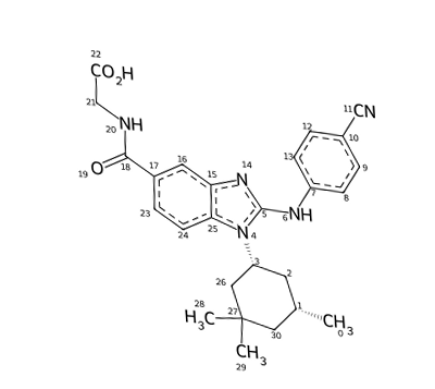 C[C@H]1C[C@@H](n2c(Nc3ccc(C#N)cc3)nc3cc(C(=O)NCC(=O)O)ccc32)CC(C)(C)C1